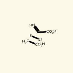 CC(=O)O.CCF.N=CC(=O)O